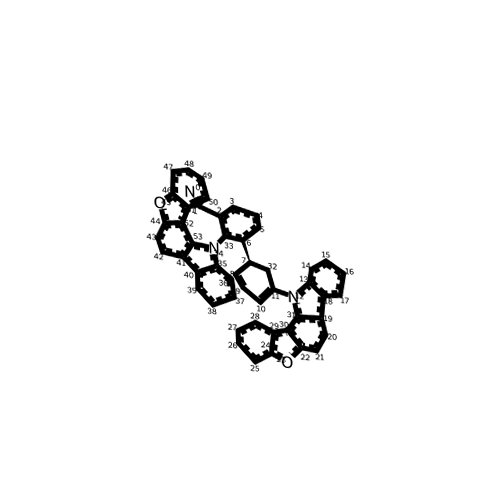 N#Cc1cccc([C@@H]2C=CC=C(n3c4ccccc4c4ccc5oc6ccccc6c5c43)C2)c1-n1c2ccccc2c2ccc3oc4ccccc4c3c21